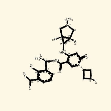 C[C@@H](NC(=O)c1cn([C@H]2C[C@H](F)C2)c(=O)cc1N[C@H]1[C@@H]2CN(C)C[C@@H]21)c1cccc(C(F)F)c1F